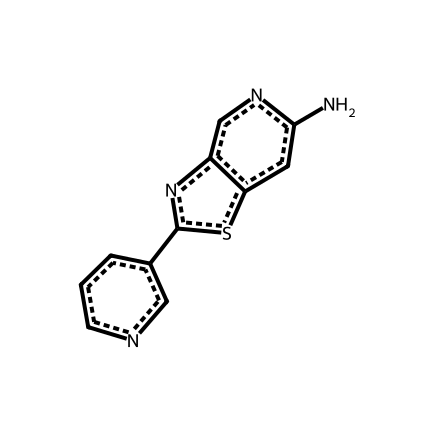 Nc1cc2sc(-c3cccnc3)nc2cn1